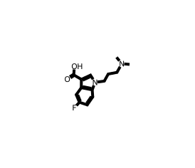 CN(C)CCCn1cc(C(=O)O)c2cc(F)ccc21